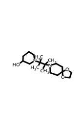 CC(C)(N1CCC2(CC1)OCCO2)C(C)(C)N1CCCC(O)C1